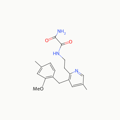 COc1cc(C)ccc1Cc1cc(C)cnc1CCNC(=O)C(N)=O